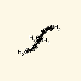 C=CC(=O)OCCCOc1ccc(C#Cc2ccc(-c3c(C)cc(C#Cc4ccc(OCCCOC(=O)C=C)cn4)cc3C)cc2)cc1